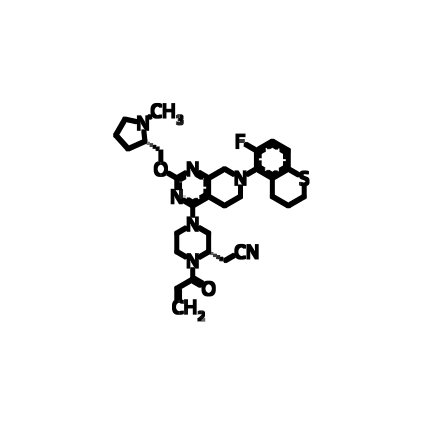 C=CC(=O)N1CCN(c2nc(OC[C@@H]3CCCN3C)nc3c2CCN(c2c(F)ccc4c2CCCS4)C3)C[C@@H]1CC#N